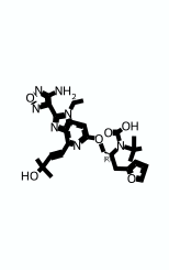 CCn1c(-c2nonc2N)nc2c(C#CC(C)(C)O)nc(OC[C@@H](Cc3ccco3)N(C(=O)O)C(C)(C)C)cc21